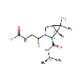 C[C@@H](C#N)NC(=O)[C@@H]1[C@@H]2C(CN1C(=O)CNC(=O)C(F)(F)F)C2(C)C